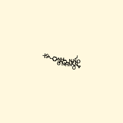 CCCn1c(=O)n(C2CC2)c(=O)c2[nH]c(-c3ccc(C(=O)Nc4ccc(CC[Si](C)(C)C(C)(C)C)cc4)nc3)nc21